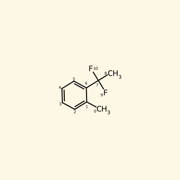 Cc1ccccc1C(C)(F)F